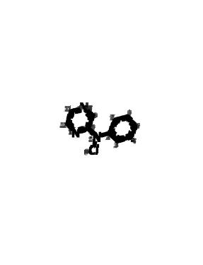 ClN(c1ccccc1)c1cnccn1